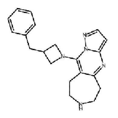 c1ccc(CC2CN(c3c4c(nc5ccnn35)CCNCC4)C2)cc1